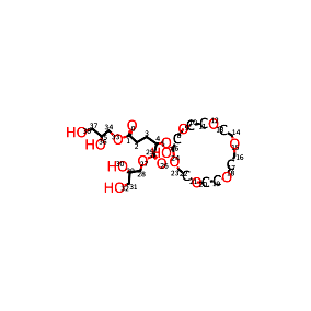 O=C(CCC(OC1(O)COCCOCCOCCOCCOCCO1)C(=O)OCC(O)CO)OCC(O)CO